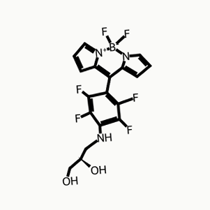 OC[C@H](O)CNc1c(F)c(F)c(C2=C3C=CC=[N+]3[B-](F)(F)n3cccc32)c(F)c1F